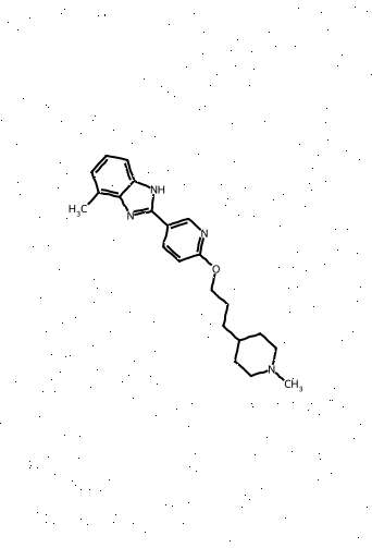 Cc1cccc2[nH]c(-c3ccc(OCCCC4CCN(C)CC4)nc3)nc12